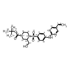 C=Cc1cnc(Nc2ccc(S(=O)(=O)N3CCN(C(=O)OC(C)(C)C)CC3CO)cc2)nc1